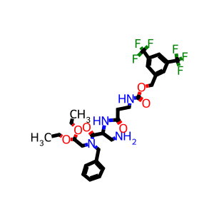 CCOC(CN(Cc1ccccc1)C(=O)C(CN)NC(=O)CCNC(=O)OCc1cc(C(F)(F)F)cc(C(F)(F)F)c1)OCC